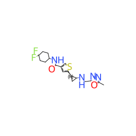 Cc1nnc(CNC2C[C@H]2c2cc(C(=O)NC3CCC(F)(F)CC3)cs2)o1